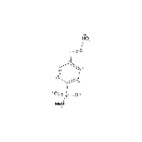 COS(=O)(=O)c1ccc(C=C[N+](=O)[O-])cc1